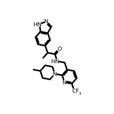 CC1CCN(c2nc(C(F)(F)F)ccc2CNC(=O)C(C)c2ccc3[nH]ncc3c2)CC1